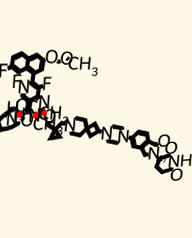 COCOc1cc(-c2ncc3c(N4CC5CCC(C4)N5C(=O)OC(C)(C)C)nc(OCC4(CN5CCC6(CC5)CC(N5CCN(c7ccc8c(c7)CN([C@H]7CCC(=O)NC7=O)C8=O)CC5)C6)CC4)nc3c2F)c2c(F)c(F)ccc2c1